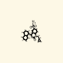 CS(=O)(=O)c1ccc2c(c1)c(-c1cccc3ccccc13)nc(=O)n2CC1CC1